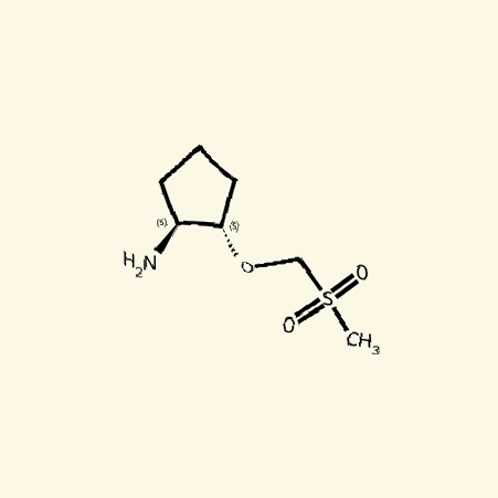 CS(=O)(=O)CO[C@H]1CCC[C@@H]1N